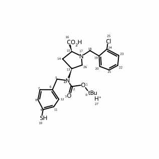 CC(C)(C)OC(=O)N(Cc1ccc(S)cc1)[C@H]1C[C@@H](C(=O)O)N(Cc2ccccc2Cl)C1.[H+]